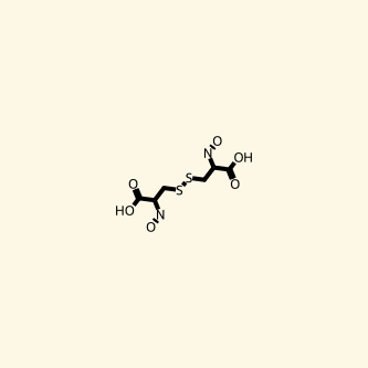 O=NC(CSSCC(N=O)C(=O)O)C(=O)O